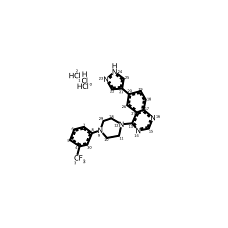 Cl.Cl.Cl.FC(F)(F)c1cccc(N2CCN(c3ncnc4ccc(-c5cn[nH]c5)cc34)CC2)c1